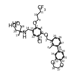 Cc1c(COc2cc(OCCCC(F)(F)F)c(CNC(C)(CO)CO)cc2Cl)cccc1-c1ccc2c(c1)OCCO2